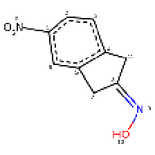 O=[N+]([O-])c1ccc2c(c1)CC(=NO)C2